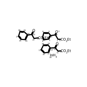 CCOC(=O)CC(=O)c1ccccc1.CCOC(=O)CC(=O)c1ccccc1.CCOC(=O)CC(=O)c1ccccc1.[InH3]